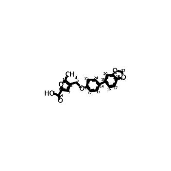 Cc1oc(C(=O)O)cc1COc1ccc(-c2ccc3c(c2)OCO3)cc1